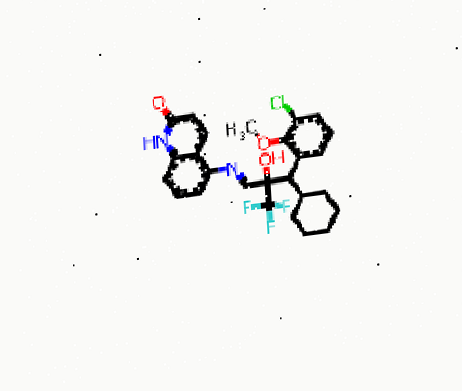 COc1c(Cl)cccc1C(C1CCCCC1)C(O)(C=Nc1cccc2[nH]c(=O)ccc12)C(F)(F)F